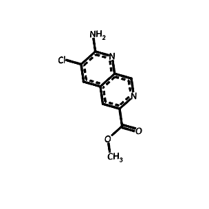 COC(=O)c1cc2cc(Cl)c(N)nc2cn1